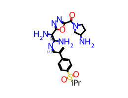 C=C(/C=N\C(N)=C(/N)c1nnc(C(=O)N2CCC(N)C2)o1)c1ccc(S(=O)(=O)C(C)C)cc1